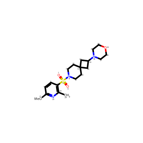 COc1ccc(S(=O)(=O)N2CCC3(CC2)CC(N2CCOCC2)C3)c(C)n1